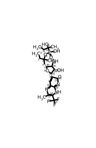 CCC(C)(C[C@H]1O[C@@H](c2cc3nc(C)c(C(F)(F)F)[nH]c-3nc2=O)[C@@H](O)C1O)OP(=O)(O)C(C)(O)CC